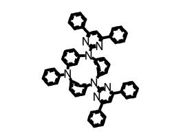 c1ccc(-c2cc(-c3ccccc3)nc(N3c4cccc(c4)N(c4ccccc4)c4cccc(c4)N(c4nc(-c5ccccc5)cc(-c5ccccc5)n4)c4cccc3c4)n2)cc1